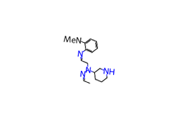 C/C=N\N(C/C=N\c1ccccc1NC)C1CCCNC1